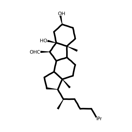 CC(C)CCC[C@@H](C)[C@H]1CCC2C3C(CC[C@@]21C)[C@@]1(C)CC[C@H](O)C[C@@]1(O)[C@@H]3C=O